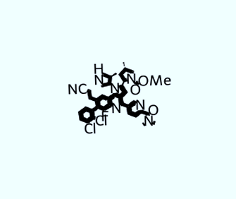 COC(=O)N1C[C@@H](C)C[C@@H]1c1cc2c(-c3ccc(C(=O)N(C)C)nc3)nc3c(F)c(-c4cccc(Cl)c4Cl)c(CCC#N)cc3c2n1[C@@H]1CNC[C@H]1C